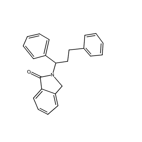 O=C1c2ccccc2CN1C(CCc1ccccc1)c1ccccc1